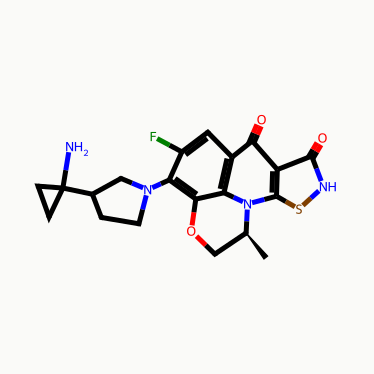 C[C@H]1COc2c(N3CCC(C4(N)CC4)C3)c(F)cc3c(=O)c4c(=O)[nH]sc4n1c23